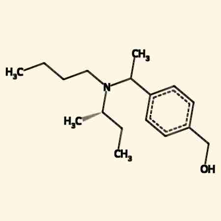 CCCCN(C(C)c1ccc(CO)cc1)[C@@H](C)CC